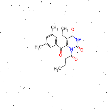 CCCC(=O)n1c(C(=O)c2cc(C)cc(C)c2)c(CC)c(=O)[nH]c1=O